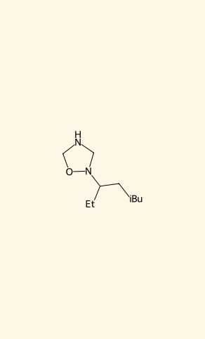 CCC(C)CC(CC)N1CNCO1